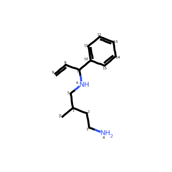 [CH2]C(CCN)CNC(C=C)c1ccccc1